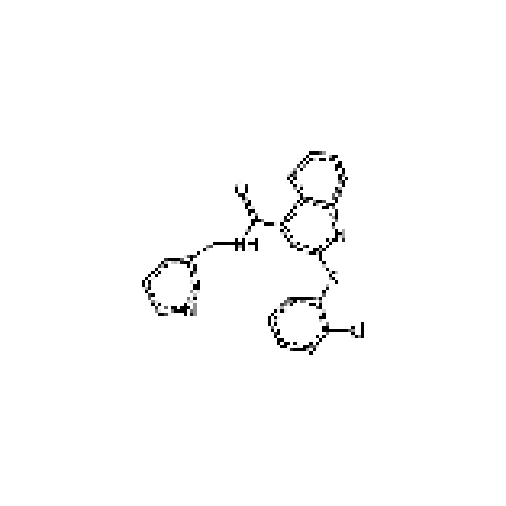 O=C(NCc1cccnc1)c1cc(Sc2ccccc2Cl)nc2ccccc12